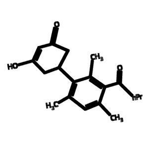 CCCC(=O)c1c(C)cc(C)c(C2CC(=O)C=C(O)C2)c1C